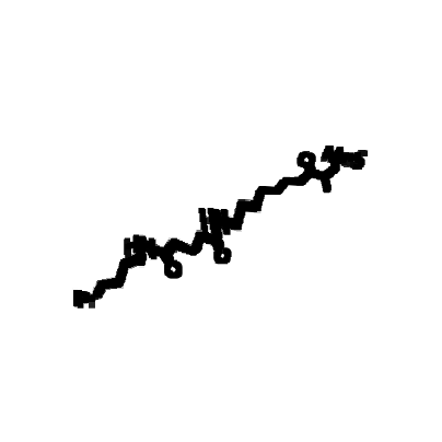 CSCC(C)C(=O)CCCCCCCNC(=O)CCCC(=O)NCCCCC(C)C